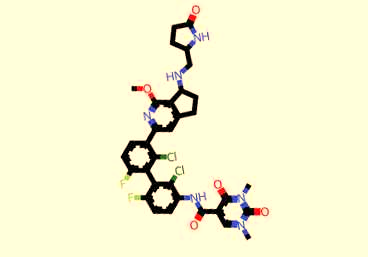 COc1nc(-c2ccc(F)c(-c3c(F)ccc(NC(=O)c4cn(C)c(=O)n(C)c4=O)c3Cl)c2Cl)cc2c1C(NCC1CCC(=O)N1)CC2